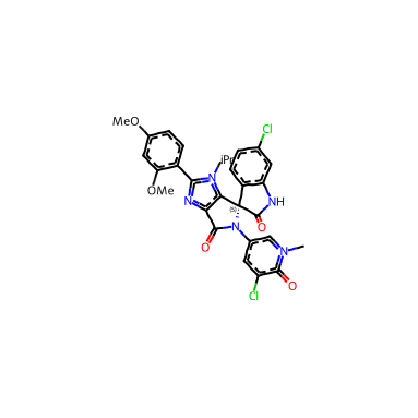 COc1ccc(-c2nc3c(n2C(C)C)[C@@]2(C(=O)Nc4cc(Cl)ccc42)N(c2cc(Cl)c(=O)n(C)c2)C3=O)c(OC)c1